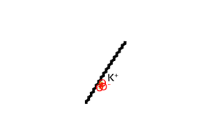 CCCCCCCCCCCCCCCCCCCCCC(CCCCCCCCCC)S(=O)(=O)[O-].[K+]